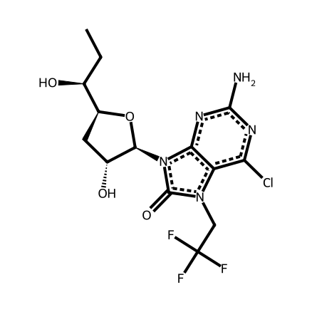 CC[C@H](O)[C@@H]1C[C@@H](O)[C@H](n2c(=O)n(CC(F)(F)F)c3c(Cl)nc(N)nc32)O1